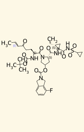 C=C[C@@H]1C[C@]1(NC(=O)[C@@H]1CC(OC(=O)N2Cc3cccc(F)c3C2)CN1C(=O)[C@H](CCC(=O)/C=C/C)NC(=O)OC(C)(C)C)C(=O)NS(=O)(=O)C1CC1